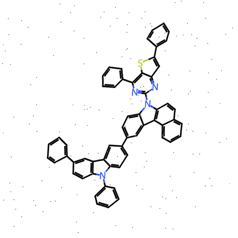 c1ccc(-c2ccc3c(c2)c2cc(-c4ccc5c(c4)c4c6ccccc6ccc4n5-c4nc(-c5ccccc5)c5sc(-c6ccccc6)cc5n4)ccc2n3-c2ccccc2)cc1